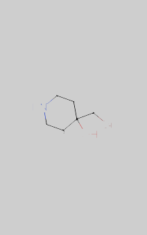 OC1(CBr)CCNCC1